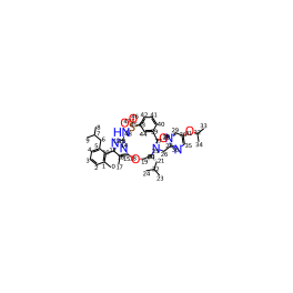 Cc1cccc(CC(C)C)c1-c1nc2nc(c1C)OC[C@@H](CC(C)C)N(Cc1ncc(OC(C)C)cn1)C(=O)c1cccc(c1)S(=O)(=O)N2